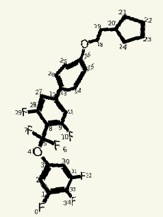 Fc1cc(OC(F)(F)c2c(F)cc(-c3ccc(OCCC4CCCC4)cc3)cc2F)cc(F)c1F